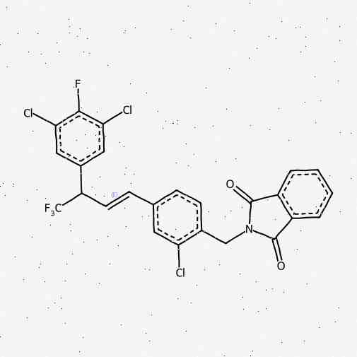 O=C1c2ccccc2C(=O)N1Cc1ccc(/C=C/C(c2cc(Cl)c(F)c(Cl)c2)C(F)(F)F)cc1Cl